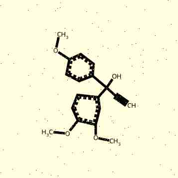 C#CC(O)(c1ccc(OC)cc1)c1ccc(OC)c(OC)c1